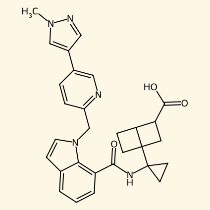 Cn1cc(-c2ccc(Cn3ccc4cccc(C(=O)NC5(C67CCC6C(C(=O)O)C7)CC5)c43)nc2)cn1